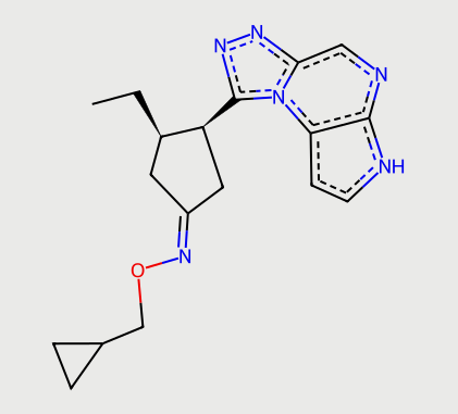 CC[C@@H]1CC(=NOCC2CC2)C[C@@H]1c1nnc2cnc3[nH]ccc3n12